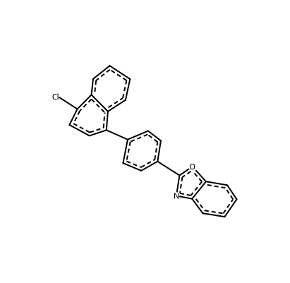 Clc1ccc(-c2ccc(-c3nc4ccccc4o3)cc2)c2ccccc12